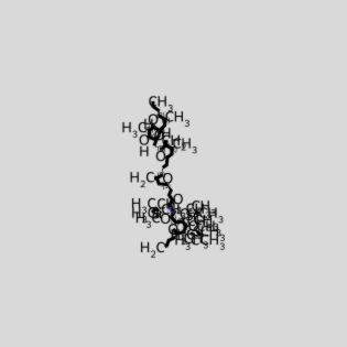 C=CCC[C@@H]1O[C@@H]([C@H](/C=C/C(=O)CC[C@H]2CC(=C)[C@H](CCC3C[C@@H](C)C(=C)[C@@H](CC4O[C@H]5C[C@@H](C)[C@@H](CCC)O[C@H]5[C@H](C)[C@H]4O)O3)O2)O[Si](C)(C)C(C)(C)C)[C@@H](O[Si](C)(C)C(C)(C)C)[C@@H](O[Si](C)(C)C(C)(C)C)[C@H]1C